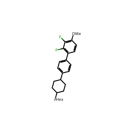 CCCCCCC1CCC(c2ccc(-c3ccc(OC)c(F)c3F)cc2)CC1